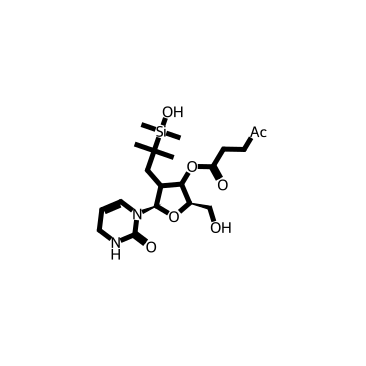 CC(=O)CCC(=O)OC1C(CC(C)(C)[Si](C)(C)O)[C@H](N2C=CCNC2=O)O[C@@H]1CO